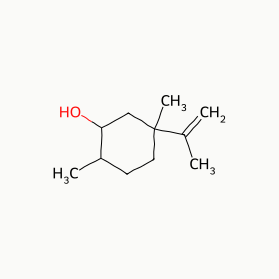 C=C(C)C1(C)CCC(C)C(O)C1